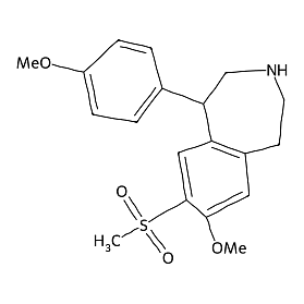 COc1ccc(C2CNCCc3cc(OC)c(S(C)(=O)=O)cc32)cc1